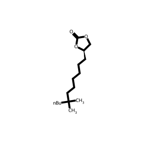 CCCCC(C)(C)CCCCCC[C@@H]1COC(=O)O1